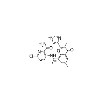 Cc1cc([C@@H](C)Nc2ccc(Cl)nc2C(N)=O)c2oc(-c3cn(C)cn3)c(C)c(=O)c2c1